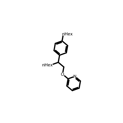 CCCCCCc1ccc(C(CCCCCC)COc2ccccn2)cc1